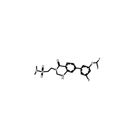 CN(C)S(=O)(=O)CCN1CNc2cc(-c3cc(F)cc(OC(F)F)c3)ccc2C1=O